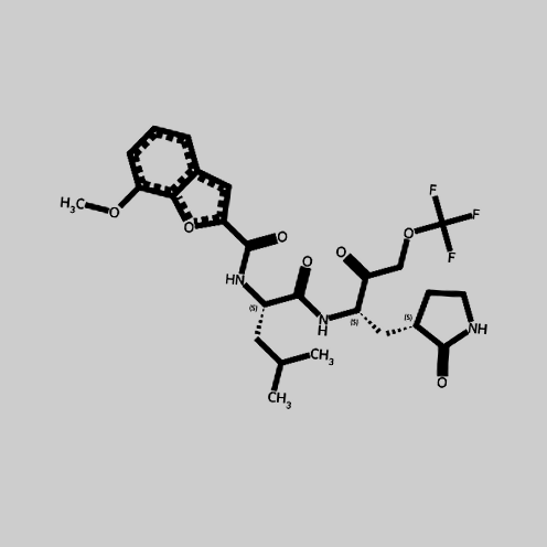 COc1cccc2cc(C(=O)N[C@@H](CC(C)C)C(=O)N[C@@H](C[C@@H]3CCNC3=O)C(=O)COC(F)(F)F)oc12